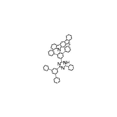 c1ccc(-c2cc(C3=NC(c4ccccc4)NC(c4cc(-c5ccccc5)c(-n5c6ccccc6c6cc7c(cc65)sc5ccccc57)c(-c5ccccc5)c4)=N3)cc(-c3ccccc3)c2)cc1